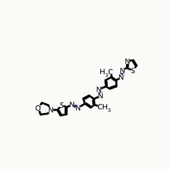 Cc1cc(/N=N/c2ccc(N3CCOCC3)s2)ccc1/N=N/c1ccc(/N=N/c2nccs2)c(C)c1